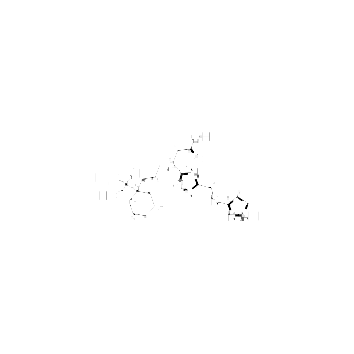 CC(C)(C)C1(CCC[C@H](CC(=O)O)c2nc(CNc3cc[nH]n3)no2)CCCCC1